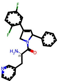 N[C@@H](Cc1cccnc1)C(=O)N1CC(c2cc(F)ccc2F)=CC1c1ccccc1